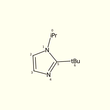 CC(C)n1ccnc1C(C)(C)C